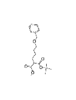 COC(=O)C(CCCCOCc1ccccc1)C(=O)OC(C)(C)C